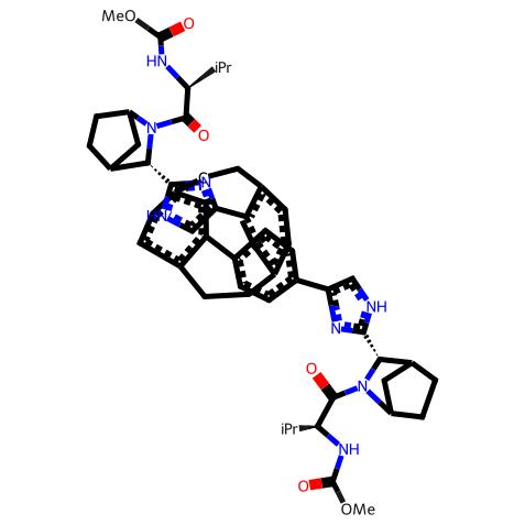 COC(=O)N[C@H](C(=O)N1C2CCC(C2)[C@H]1c1nc(-c2ccc(-c3cc4ccc3CCc3ccc(c(-c5c[nH]c([C@@H]6C7CCC(C7)N6C(=O)[C@@H](NC(=O)OC)C(C)C)n5)c3)CC4)cc2)c[nH]1)C(C)C